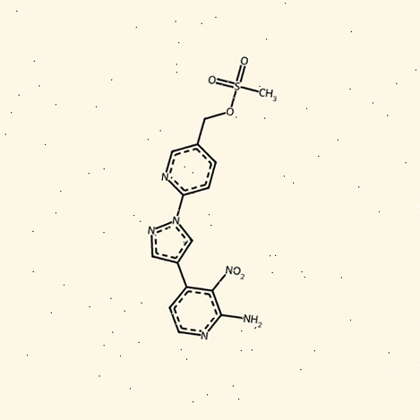 CS(=O)(=O)OCc1ccc(-n2cc(-c3ccnc(N)c3[N+](=O)[O-])cn2)nc1